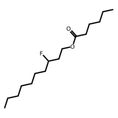 CCCCCCCC(F)CCOC(=O)CCCCC